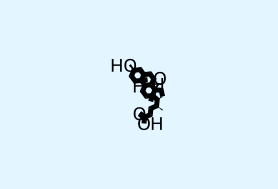 C[C@H](CCC(=O)O)[C@H]1CC[C@H]2C3C(=O)CC4C[C@H](O)CCC4(C)[C@H]3CCC12C